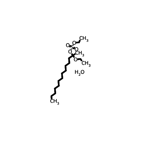 CCCCCCCCCCCCC(C)(OCC)OS(=O)(=O)OCC.O